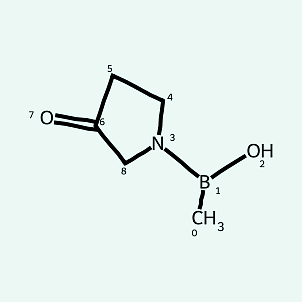 CB(O)N1CCC(=O)C1